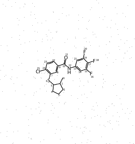 CC1CCCC1Sc1cc(C(=O)Nc2cc(F)c(F)c(F)c2)ccc1Cl